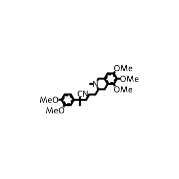 COc1ccc(C(C)(C#N)CCCC2Cc3c(cc(OC)c(OC)c3OC)CN2C)cc1OC